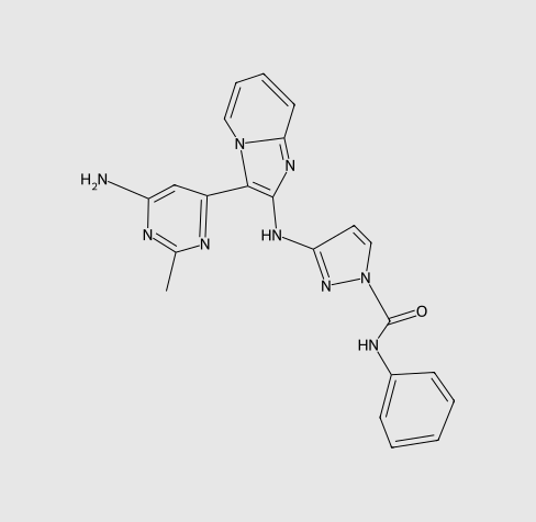 Cc1nc(N)cc(-c2c(Nc3ccn(C(=O)Nc4ccccc4)n3)nc3ccccn23)n1